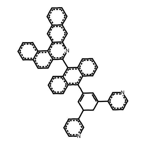 C1=C(c2cccnc2)CC(c2cccnc2)C=C1c1c2ccccc2c(-c2nc3cc4ccccc4cc3c3c2ccc2ccccc23)c2ccccc12